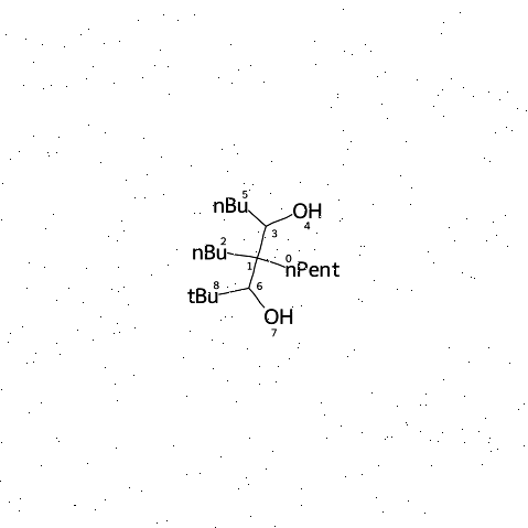 CCCCCC(CCCC)(C(O)CCCC)C(O)C(C)(C)C